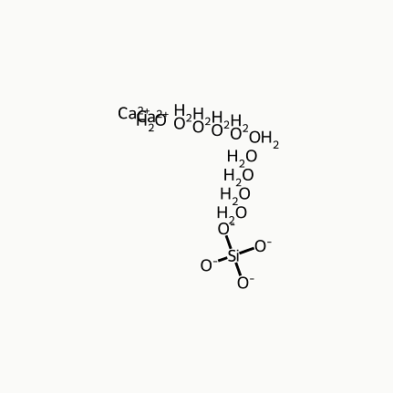 O.O.O.O.O.O.O.O.O.O.[Ca+2].[Ca+2].[O-][Si]([O-])([O-])[O-]